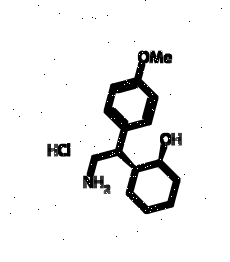 COc1ccc(C(CN)[C@@H]2CCCC[C@@H]2O)cc1.Cl